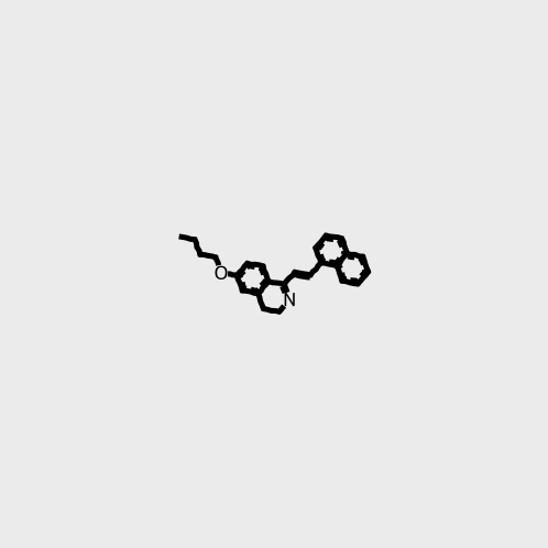 CCCCOc1ccc2c(c1)CCN=C2/C=C/c1cccc2ccccc12